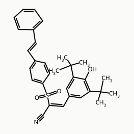 CC(C)(C)c1cc(C=C(C#N)S(=O)(=O)c2ccc(C=Cc3ccccc3)cc2)cc(C(C)(C)C)c1O